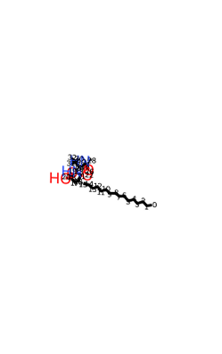 CCCCCCCCCCCCCCCC[C@H](CC(=O)O)C(=O)N[C@H](C(=O)NC)C(C)(C)C